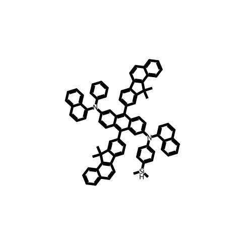 C[SiH](C)c1ccc(N(c2ccc3c(-c4ccc5c(c4)C(C)(C)c4c-5ccc5ccccc45)c4cc(N(c5ccccc5)c5cccc6ccccc56)ccc4c(-c4ccc5c(c4)C(C)(C)c4c-5ccc5ccccc45)c3c2)c2cccc3ccccc23)cc1